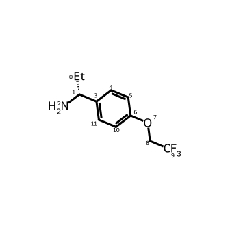 CC[C@@H](N)c1ccc(OCC(F)(F)F)cc1